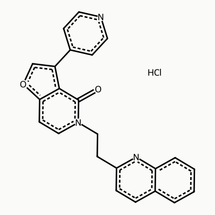 Cl.O=c1c2c(-c3ccncc3)coc2ccn1CCc1ccc2ccccc2n1